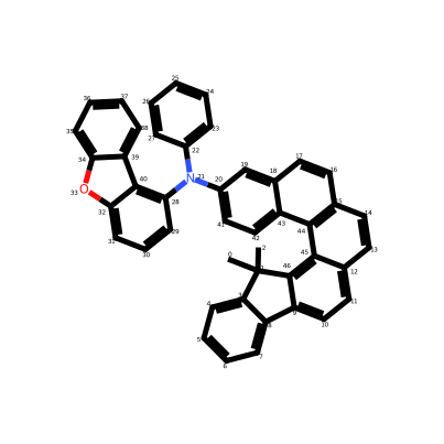 CC1(C)c2ccccc2-c2ccc3ccc4ccc5cc(N(c6ccccc6)c6cccc7oc8ccccc8c67)ccc5c4c3c21